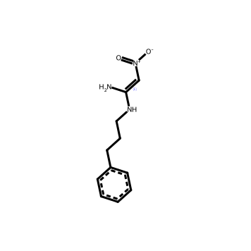 N/C(=C\[N+](=O)[O-])NCCCc1ccccc1